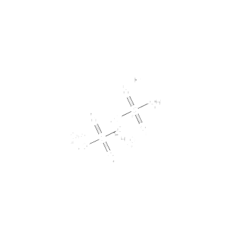 O.O=S(=O)([O-])O.O=S(=O)([O-])[O-].[Ca+2].[K+]